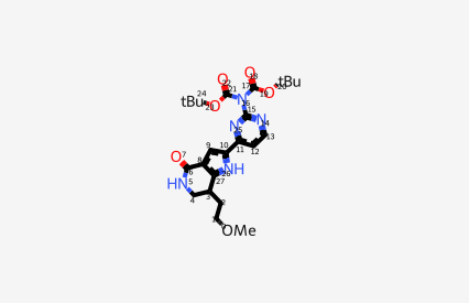 COCCC1CNC(=O)c2cc(-c3ccnc(N(C(=O)OC(C)(C)C)C(=O)OC(C)(C)C)n3)[nH]c21